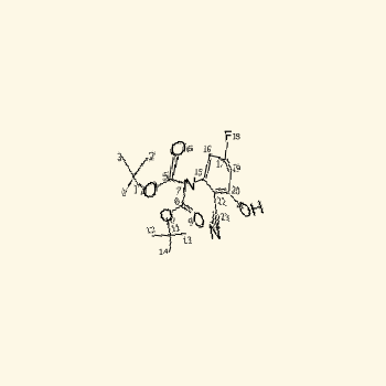 CC(C)(C)OC(=O)N(C(=O)OC(C)(C)C)c1cc(F)cc(O)c1C#N